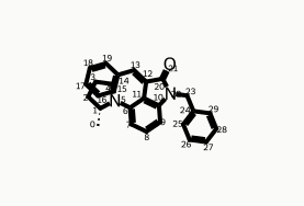 C[C@@H]1CCCN1c1cccc2c1/C(=C\c1ccccc1)C(=O)N2Cc1ccccc1